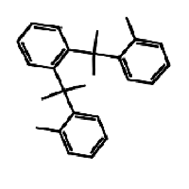 Cc1ccccc1C(C)(C)c1[c]cccc1C(C)(C)c1ccccc1C